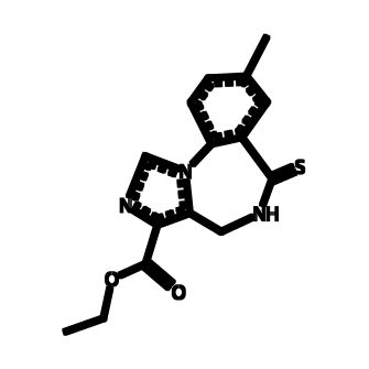 CCOC(=O)c1ncn2c1CNC(=S)c1cc(C)ccc1-2